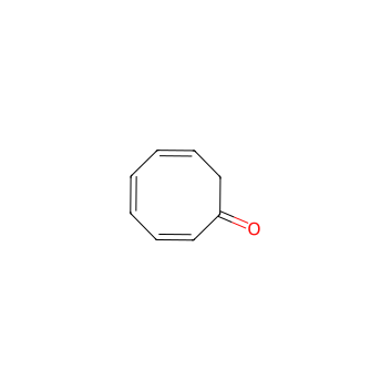 O=C1C=CC=CC=CC1